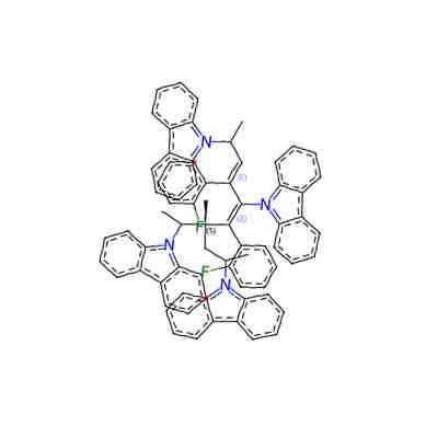 CC(/C=C(/C(=C(/c1ccccc1F)[C@](C)(CC(C)n1c2ccccc2c2ccccc21)C(C)n1c2ccccc2c2ccccc21)n1c2ccccc2c2ccccc21)c1ccccc1F)n1c2ccccc2c2ccccc21